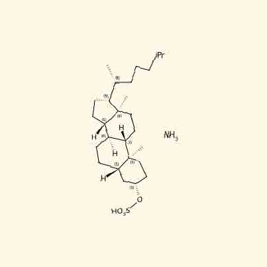 CC(C)CCC[C@@H](C)[C@H]1CC[C@H]2[C@@H]3CC[C@H]4C[C@@H](OS(=O)(=O)O)CC[C@]4(C)[C@H]3CC[C@]12C.N